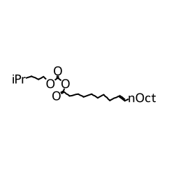 CCCCCCCCC=CCCCCCCCC(=O)OC(=O)OCCCC(C)C